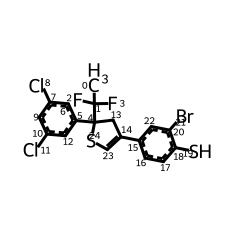 CC(F)(F)C1(c2cc(Cl)cc(Cl)c2)CC(c2ccc(S)c(Br)c2)=CS1